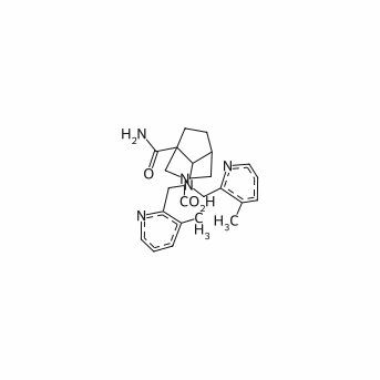 Cc1cccnc1CN(Cc1ncccc1C)C1C2CCC1(C(N)=O)CN(C(=O)O)C2